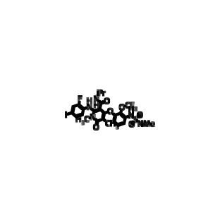 CNS(=O)(=O)Nc1cccc(Oc2c(C(=O)NC(C)C)c(Nc3ccc(I)cc3F)n(C)c(=O)c2C)c1OC(F)(F)F